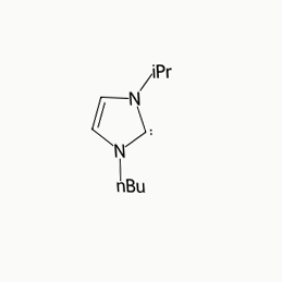 CCCCN1[C]N(C(C)C)C=C1